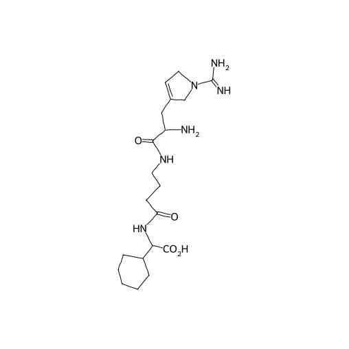 N=C(N)N1CC=C(CC(N)C(=O)NCCCC(=O)NC(C(=O)O)C2CCCCC2)C1